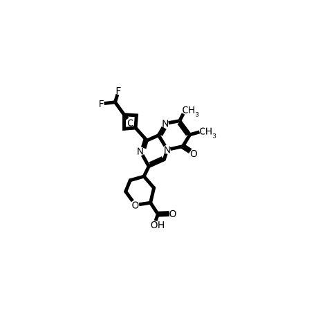 Cc1nc2c(C34CC(C(F)F)(C3)C4)nc(C3CCOC(C(=O)O)C3)cn2c(=O)c1C